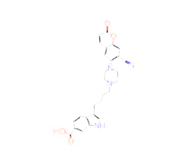 N#Cc1cc2oc(=O)ccc2cc1N1CCN(CCCCc2c[nH]c3cc(C(=O)O)ccc23)CC1